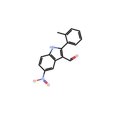 Cc1ccccc1-c1[nH]c2ccc([N+](=O)[O-])cc2c1C=O